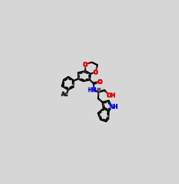 CC(=O)c1cccc(-c2cc3c(c(C(=O)N[C@@H](CO)Cc4c[nH]c5ccccc45)c2)OCCO3)c1